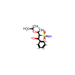 CC(C)OC(C)C(C(=O)c1ccccc1)S([NH])(=O)=O